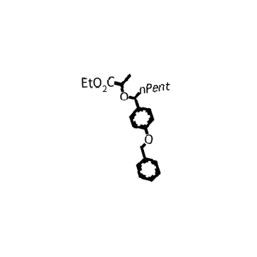 CCCCCC(OC(C)C(=O)OCC)c1ccc(OCc2ccccc2)cc1